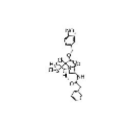 CC(C)(SCl)C(Cl)(C(=O)OCc1ccc([N+](=O)[O-])cc1)N1CC(NC(=O)Cc2ccccc2)C1=O